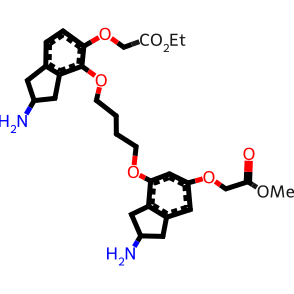 CCOC(=O)COc1ccc2c(c1OCCCCOc1cc(OCC(=O)OC)cc3c1CC(N)C3)CC(N)C2